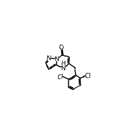 O=c1cc(Cc2c(Cl)cccc2Cl)[nH]c2ccnn12